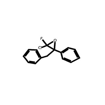 FC1(Cl)OC1(Cc1ccccc1)c1ccccc1